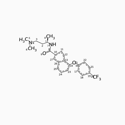 C[C@H](CCN(C)C)NC(=O)c1ccc2c(Oc3ccc(C(F)(F)F)cc3)cccc2c1